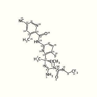 CC[C@](C)(/N=C(/N)N(C)/[SH](=O)=N/CC(F)(F)F)c1nc(NC(=O)c2ncc(C#N)cc2C)ccc1F